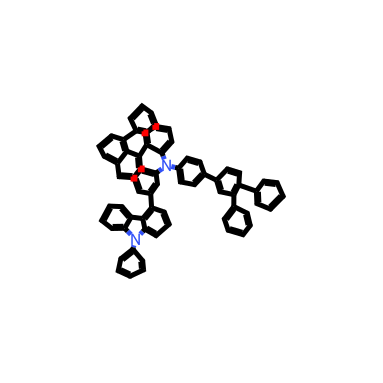 c1ccc(-c2ccc(-c3ccc(N(c4cccc(-c5cccc6c5c5ccccc5n6-c5ccccc5)c4)c4ccccc4-c4cccc5cccc(-c6ccccc6)c45)cc3)cc2-c2ccccc2)cc1